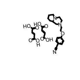 N#Cc1ccc(OCCN2CCN3CCCCC3C2)cc1.O=C(O)C=CC(=O)O.O=C(O)C=CC(=O)O